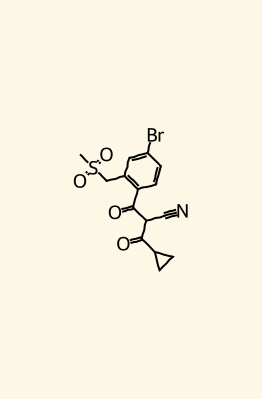 CS(=O)(=O)Cc1cc(Br)ccc1C(=O)C(C#N)C(=O)C1CC1